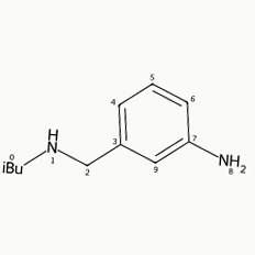 CCC(C)NCc1cccc(N)c1